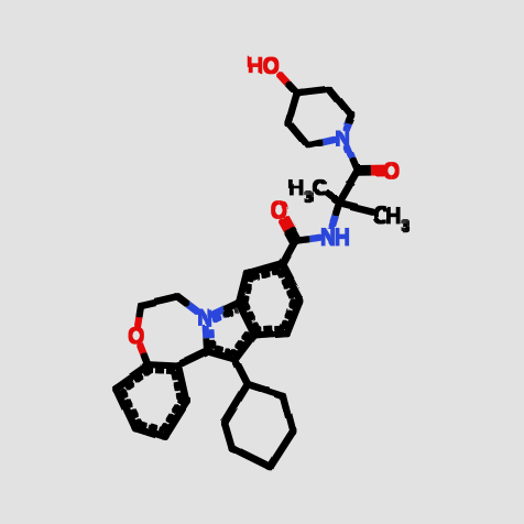 CC(C)(NC(=O)c1ccc2c(C3CCCCC3)c3n(c2c1)CCOc1ccccc1-3)C(=O)N1CCC(O)CC1